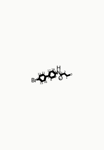 CCCC(=O)Nc1ccc(-c2ccc(Br)cc2)cc1